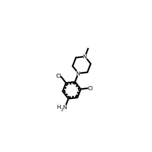 CN1CCN(c2c(Cl)cc(N)cc2Cl)CC1